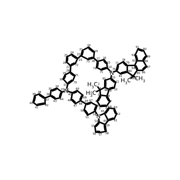 CC1(C)c2ccccc2-c2ccc(N(c3ccc(-c4cccc(-c5cccc(-c6ccc(N(c7ccc(-c8ccccc8)cc7)c7ccc(-c8ccc(-n9c%10ccccc%10c%10ccccc%109)cc8)cc7)cc6)c5)c4)cc3)c3ccc4c(c3)C(C)(C)c3ccc5ccccc5c3-4)cc21